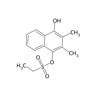 CCS(=O)(=O)Oc1c(C)c(C)c(O)c2ccccc12